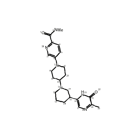 CNC(=O)c1ccc(N2CCC(N3CCCC(c4cnc(C)c(=O)[nH]4)C3)CC2)cn1